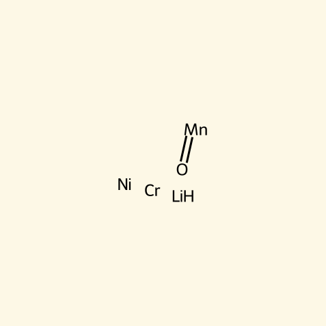 [Cr].[LiH].[Ni].[O]=[Mn]